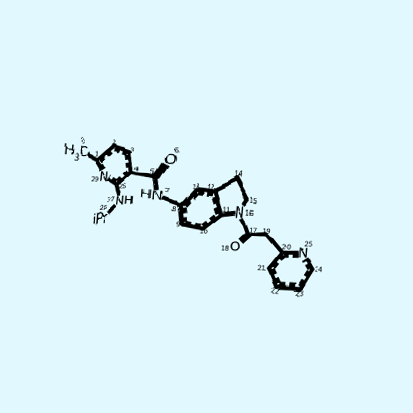 Cc1ccc(C(=O)Nc2ccc3c(c2)CCN3C(=O)Cc2ccccn2)c(NC(C)C)n1